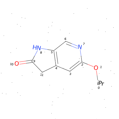 CC(C)Oc1cc2c(cn1)NC(=O)C2